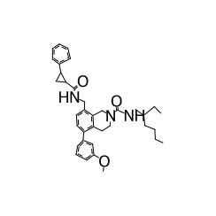 CCCCC(CC)CNC(=O)N1CCc2c(-c3cccc(OC)c3)ccc(CNC(=O)C3CC3c3ccccc3)c2C1